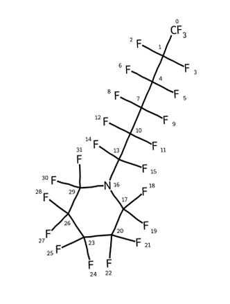 FC(F)(F)C(F)(F)C(F)(F)C(F)(F)C(F)(F)C(F)(F)N1C(F)(F)C(F)(F)C(F)(F)C(F)(F)C1(F)F